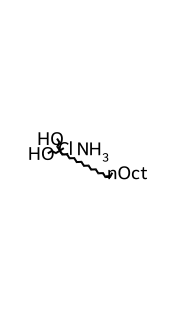 CCCCCCCC/C=C\CCCCCCCCCCCCC(Cl)(CCO)CCO.N